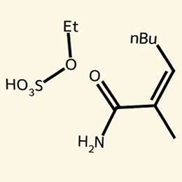 CCCCC=C(C)C(N)=O.CCOS(=O)(=O)O